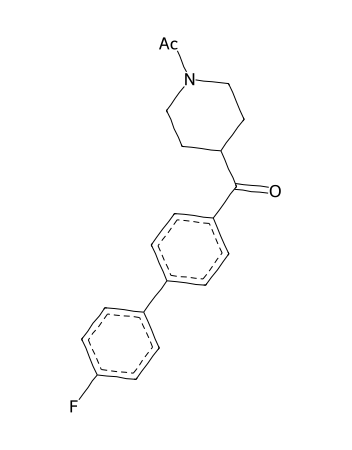 CC(=O)N1CCC(C(=O)c2ccc(-c3ccc(F)cc3)cc2)CC1